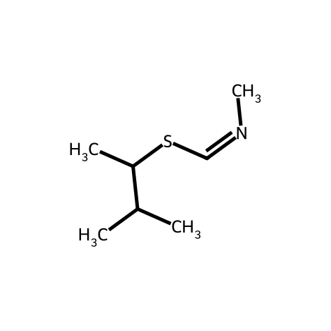 C/N=C\SC(C)C(C)C